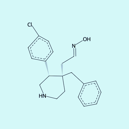 ON=CC[C@]1(Cc2ccccc2)CCNC[C@@H]1c1ccc(Cl)cc1